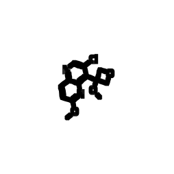 COc1ccc2ncc(Cl)c(C3(OC)COC3)c2n1